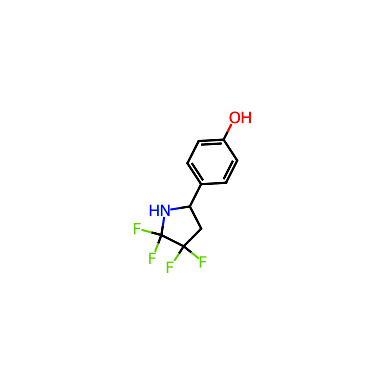 Oc1ccc(C2CC(F)(F)C(F)(F)N2)cc1